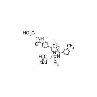 CC(CN1C(=O)C(c2cccc(C(F)(F)F)c2)=NC1(C)CCC(C)C(C)(C)C)c1ccc(C(=O)NCCC(=O)O)cc1